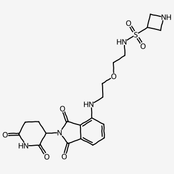 O=C1CCC(N2C(=O)c3cccc(NCCOCCNS(=O)(=O)C4CNC4)c3C2=O)C(=O)N1